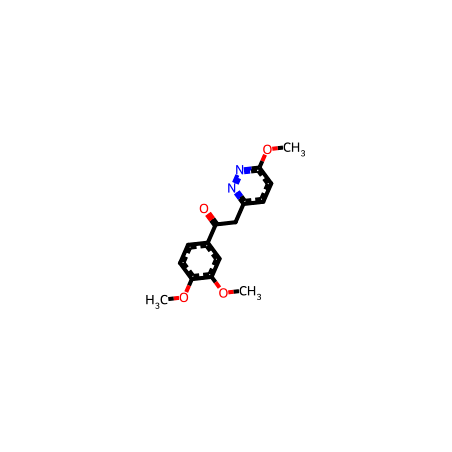 COc1ccc(CC(=O)c2ccc(OC)c(OC)c2)nn1